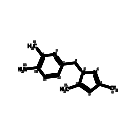 Cc1nc(Cn2nc(C(F)(F)F)cc2C)ccc1N